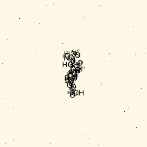 CC(=O)N(C)CCN(Cc1ccccn1)CC(O)C12CC[C@]3(C)[C@H](CC[C@@H]4[C@@]5(C)CC[C@H](OC(=O)CC(C)(C)C(=O)O)C(C)(C)[C@@H]5CC[C@]43C)C1=C(C(C)C)C(=O)C2